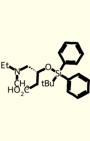 CCN(C)C[C@@H](CC(=O)O)O[Si](c1ccccc1)(c1ccccc1)C(C)(C)C